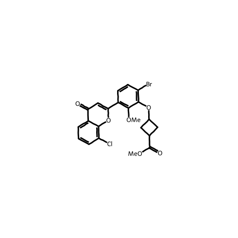 COC(=O)C1CC(Oc2c(Br)ccc(-c3cc(=O)c4cccc(Cl)c4o3)c2OC)C1